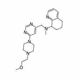 COCCN1CCN(c2cc(CN(C)C3CCCc4cccnc43)ncn2)CC1